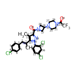 C/C(=C\c1ccc(Cl)cc1)c1c(C)c(C(=O)N2CC(N3CCN(C(=O)C(F)(F)F)CC3)C2)nn1-c1ccc(Cl)cc1Cl